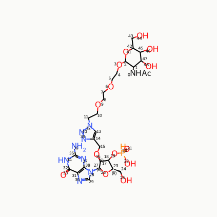 CC(=O)NC1C(OCCOCCOCCn2cc(CO[C@H]3C(O[PH](=O)O)[C@@H](CO)O[C@H]3n3cnc4c(=O)[nH]c(N)nc43)nn2)OC(CO)C(O)C1O